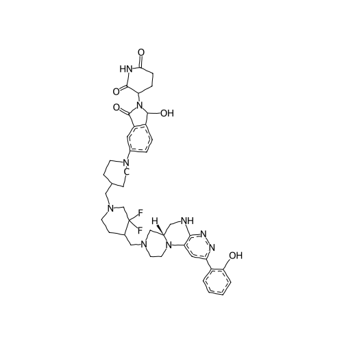 O=C1CCC(N2C(=O)c3cc(N4CCC(CN5CCC(CN6CCN7c8cc(-c9ccccc9O)nnc8NC[C@H]7C6)C(F)(F)C5)CC4)ccc3C2O)C(=O)N1